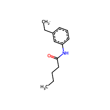 [CH2]Cc1cccc(NC(=O)CCCC)c1